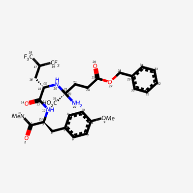 CNC(=O)[C@H](Cc1ccc(OC)cc1)NC(=O)[C@H](CC(C(F)(F)F)C(F)(F)F)N[C@](N)(CCC(=O)OCc1ccccc1)C(=O)O